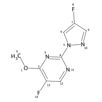 COc1nc(-n2cc(F)cn2)ncc1F